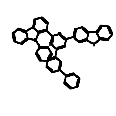 c1ccc(-c2cccc(-c3cc(-c4ccc5c(c4)sc4ccccc45)nc(-c4cccc5c6ccccc6n(-c6ccccc6)c45)n3)c2)cc1